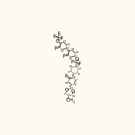 CC1COC(c2ccc(C3CCC(C(F)(F)Oc4ccc(-c5ccc(OC(F)(F)F)c(F)c5)c(F)c4)CC3)c(F)c2)OC1